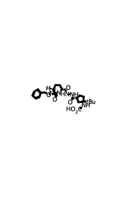 CC(C)(C)C1(NC(=O)O)CC[C@H](C(=O)NNC(=O)[C@@H]2CC[C@@H]3CN2C(=O)N3OCc2ccccc2)C1